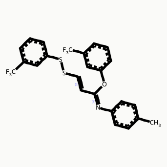 Cc1ccc(/N=C(/C=C/SSc2cccc(C(F)(F)F)c2)Oc2cccc(C(F)(F)F)c2)cc1